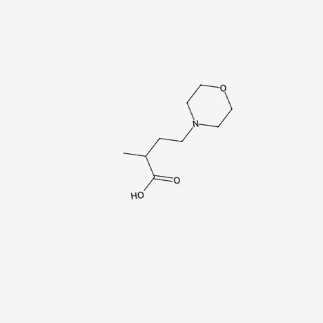 CC(CCN1CCOCC1)C(=O)O